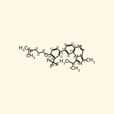 Cc1nc(C(C)C)n2c1cnc1ccc(-c3ccc(OCCCN(C)C)c(C(F)(F)F)c3)cc12